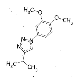 COc1ccc(-n2cc(C(C)C)nn2)cc1OC